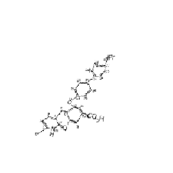 Cc1ccc(Cc2ccc(C(=O)O)cc2Oc2ccc(-c3ccc(C(C)C)nn3)cc2)c(=O)[nH]1